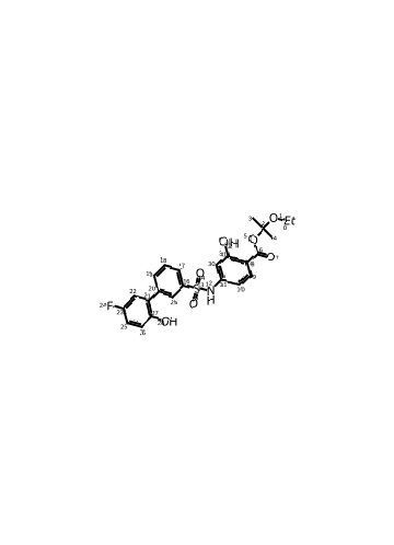 CCOC(C)(C)OC(=O)c1ccc(NS(=O)(=O)c2cccc(-c3cc(F)ccc3O)c2)cc1O